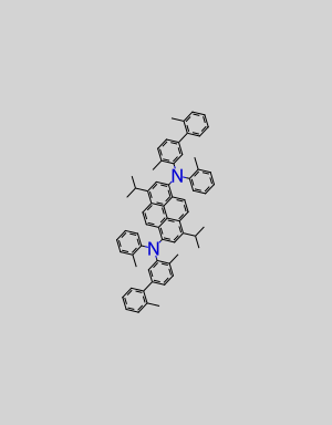 Cc1ccccc1-c1ccc(C)c(N(c2ccccc2C)c2cc(C(C)C)c3ccc4c(N(c5ccccc5C)c5cc(-c6ccccc6C)ccc5C)cc(C(C)C)c5ccc2c3c54)c1